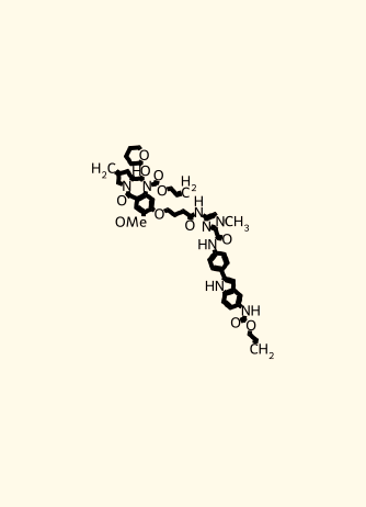 C=CCOC(=O)Nc1ccc2[nH]c(-c3ccc(NC(=O)c4nc(NC(=O)CCCOc5cc6c(cc5OC)C(=O)N5CC(=C)C[C@H]5C(OC5CCCCO5)N6C(=O)OCC=C)cn4C)cc3)cc2c1